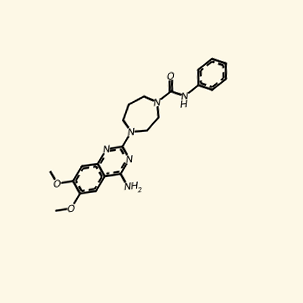 COc1cc2nc(N3CCCN(C(=O)Nc4ccccc4)CC3)nc(N)c2cc1OC